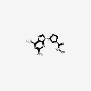 Nc1nc(N)c2ncn([C@@H]3CC[C@@H](C(=O)NO)C3)c2n1